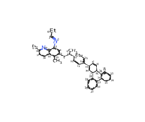 CC/C=N/c1cc(CC(C)C/C=C\C(=C/CC)C2=CC3c4ccccc4-c4ccccc4C3C=C2)c(C)c2ccc(CC)nc12